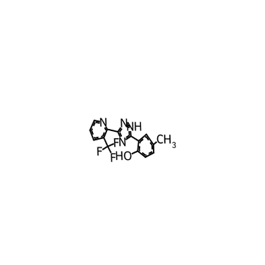 Cc1ccc(O)c(-c2nc(-c3ncccc3C(F)(F)F)n[nH]2)c1